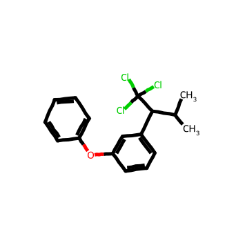 CC(C)C(c1cccc(Oc2ccccc2)c1)C(Cl)(Cl)Cl